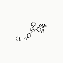 COc1cc(-c2cc(-c3ccc(OCCN4CCCCC4)cc3)nn2-c2ccccc2)cc2c1OCO2